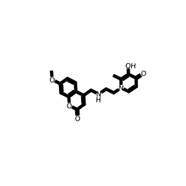 COc1ccc2c(CNCCn3ccc(=O)c(O)c3C)cc(=O)oc2c1